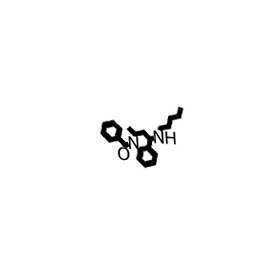 CCCCCNC1CC(C)N(C(=O)c2ccccc2)c2ccccc21